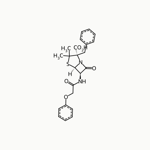 CC1(C)S[C@@H]2[C@H](NC(=O)COc3ccccc3)C(=O)N2[C@@]1(Cc1ccccc1)C(=O)O